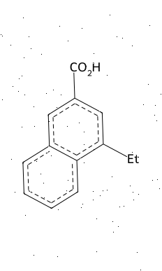 CCc1cc(C(=O)O)cc2ccccc12